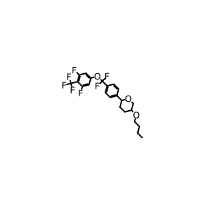 CCCCOC1CCC(c2ccc(C(F)(F)Oc3cc(F)c(C(F)(F)F)c(F)c3)cc2)OC1